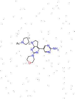 CC(=O)N1C[C@@H](N2CCc3c(-c4cnc(N)nc4)nc(N4CCOCC4)nc32)[C@@H](C)C1